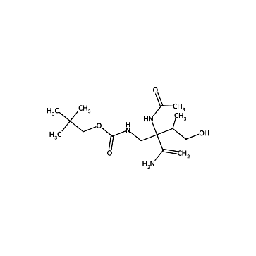 C=C(N)C(CNC(=O)OCC(C)(C)C)(NC(C)=O)C(C)CO